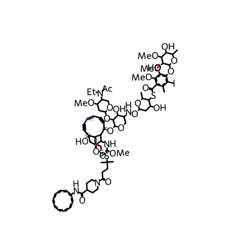 CCN(C(C)=O)C1COC(OC2C(O[C@H]3C#C/C=C\C#C[C@]4(O)CC(=O)C(NC(=O)OC)C3/C4=C\CSSC(C)(C)CCC(=O)N3CCC(C(=O)Nc4ccccccccc4)CC3)OCC(NOC3CC(O)C(SC(=O)c4c(C)c(I)c(OC5OC(C)C(O)C(OC)C5O)c(OC)c4OC)C(C)O3)C2O)CC1OC